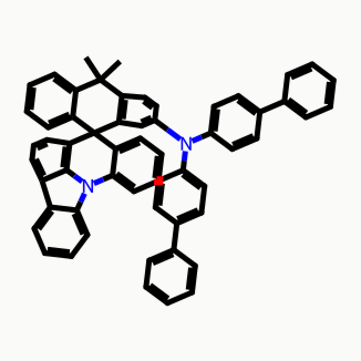 CC1(C)c2ccccc2C2(c3ccccc3-n3c4ccccc4c4cccc2c43)c2cc(N(c3ccc(-c4ccccc4)cc3)c3ccc(-c4ccccc4)cc3)ccc21